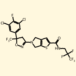 O=C(NCC(F)(F)C(F)(F)F)c1cc2c(s1)CN(C1=NOC(c3cc(Cl)c(F)c(Cl)c3)(C(F)(F)F)C1)C2